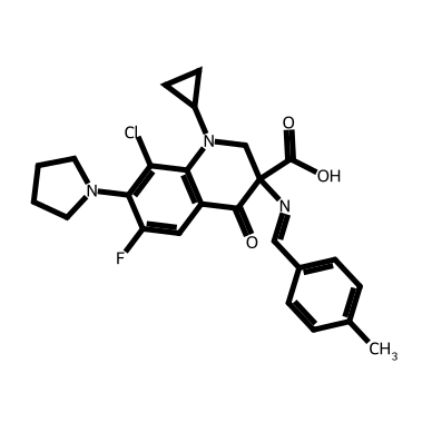 Cc1ccc(C=NC2(C(=O)O)CN(C3CC3)c3c(cc(F)c(N4CCCC4)c3Cl)C2=O)cc1